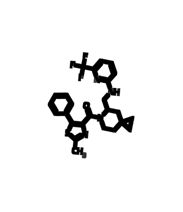 Cc1nc(C(=O)N2CCC3(CC3)CC2CNc2cccc(C(F)(F)F)n2)c(-c2ccccc2)s1